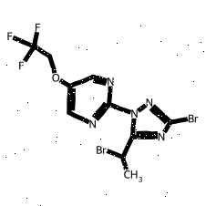 CC(Br)c1nc(Br)nn1-c1ncc(OCC(F)(F)F)cn1